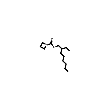 CCCCCCC(CC)COC(=O)N1CCC1